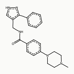 CN1CCN(c2ccc(C(=O)NCc3c[nH]nc3-c3ccccc3)cc2)CC1